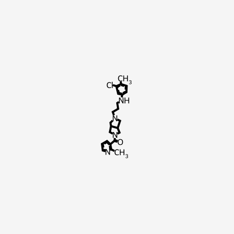 Cc1ccc(NCCCN2CC3CN(C(=O)c4cccnc4C)CC3C2)cc1Cl